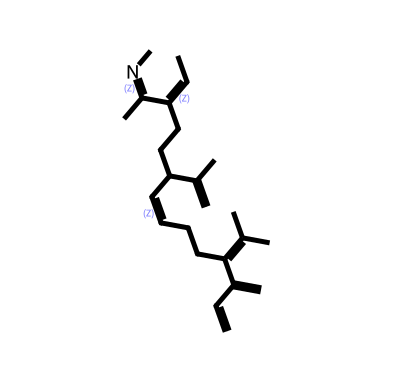 C=CC(=C)C(CC/C=C\C(CCC(=C/C)/C(C)=N\C)C(=C)C)=C(C)C